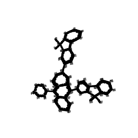 CC1(C)c2ccccc2-c2ccc(-c3ccc4c(-c5ncncn5)c5ccccc5c(-c5ccc6c(c5)C(C)(C)c5ccccc5-6)c4c3)cc21